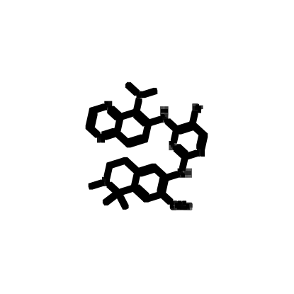 COc1cc2c(cc1Nc1ncc(Br)c(Nc3ccc4nccnc4c3P(C)C)n1)CCN(C)C2(C)C